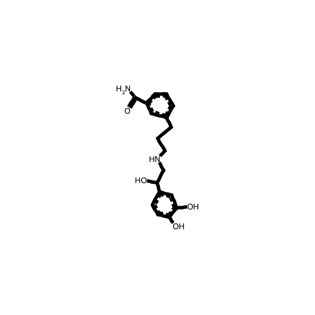 NC(=O)c1cccc(CCCNCC(O)c2ccc(O)c(O)c2)c1